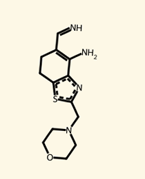 N=CC1=C(N)c2nc(CN3CCOCC3)sc2CC1